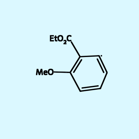 CCOC(=O)c1[c]cccc1OC